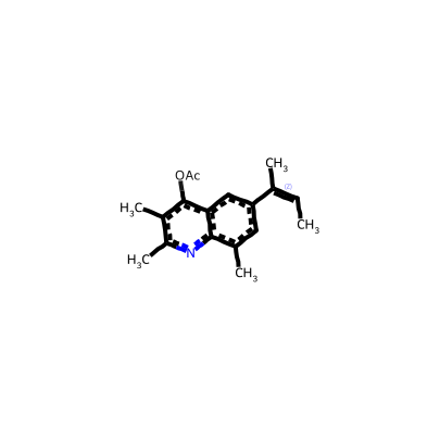 C/C=C(/C)c1cc(C)c2nc(C)c(C)c(OC(C)=O)c2c1